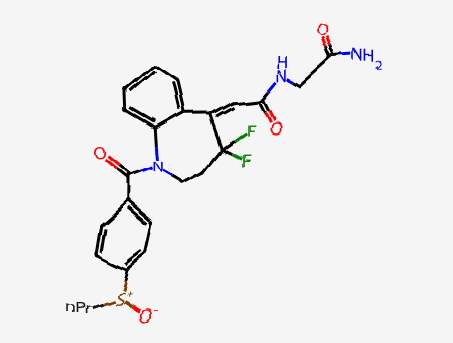 CCC[S+]([O-])c1ccc(C(=O)N2CCC(F)(F)C(=CC(=O)NCC(N)=O)c3ccccc32)cc1